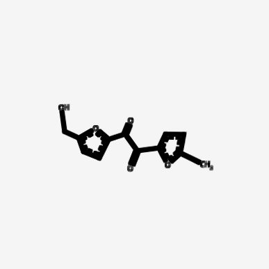 Cc1ccc(C(=O)C(=O)c2ccc(CO)o2)o1